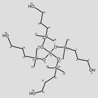 C[Si](C)(CCCO)O[Si](O[Si](C)(C)CCCO)(O[Si](C)(C)CCCO)O[Si](C)(C)CCCO